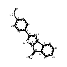 COc1ccc(-c2nc3n(n2)C(=O)c2ccccc2-3)cc1